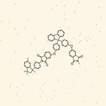 Cc1ccc2c(c1)C(C)(c1ccc(N3C(=O)c4ccc(Oc5ccc(C6(c7ccc(Oc8ccc9c(c8)C(=O)N(C)C9=O)cc7)c7ccccc7-c7ccccc76)cc5)cc4C3=O)cc1)CC2(C)C